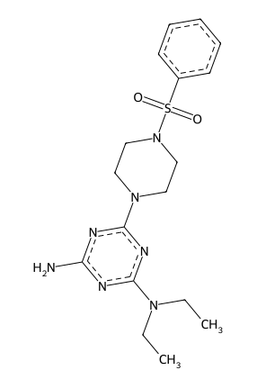 CCN(CC)c1nc(N)nc(N2CCN(S(=O)(=O)c3ccccc3)CC2)n1